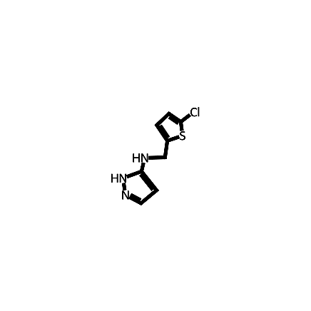 Clc1ccc(CNc2ccn[nH]2)s1